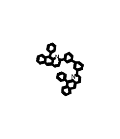 c1ccc(-c2c3ccccc3cc3ccc(-c4cccc(-c5cccc(-c6ccc7cc8ccccc8c(-c8ccccc8)c7n6)c5)c4)nc23)cc1